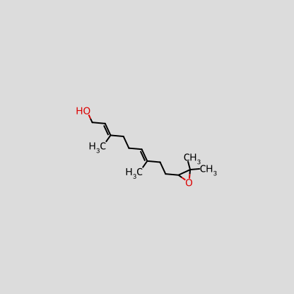 C/C(=C\CO)CC/C=C(\C)CCC1OC1(C)C